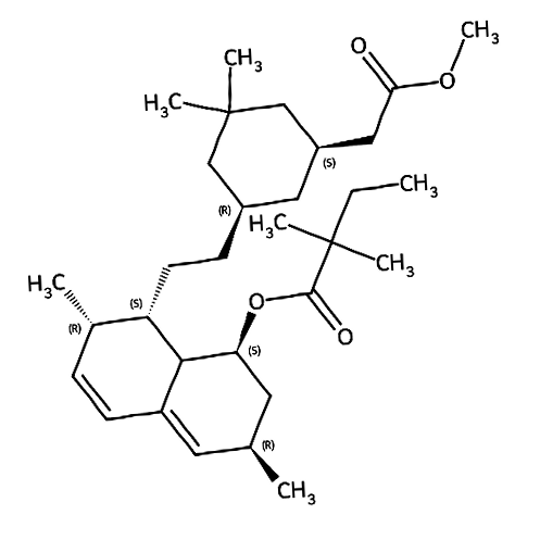 CCC(C)(C)C(=O)O[C@H]1C[C@@H](C)C=C2C=C[C@H](C)[C@H](CC[C@@H]3C[C@H](CC(=O)OC)CC(C)(C)C3)C21